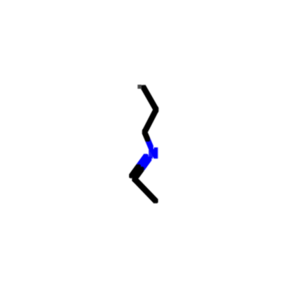 [CH2]CCN=CC